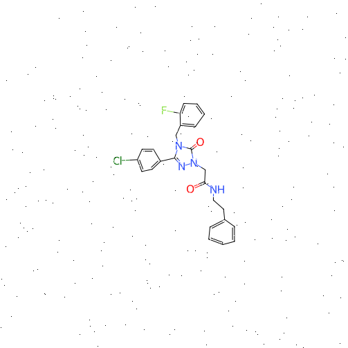 O=C(Cn1nc(-c2ccc(Cl)cc2)n(Cc2ccccc2F)c1=O)NCCc1ccccc1